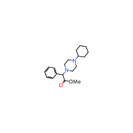 COC(=O)C(c1ccccc1)N1CCN(C2CCCCC2)CC1